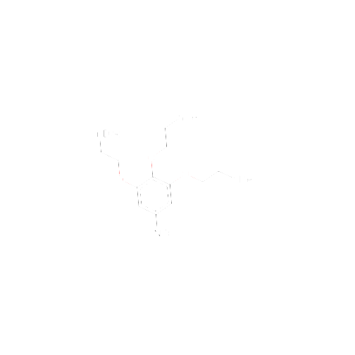 CCCCCCCCCCCCOc1cc([N+](=O)[O-])cc(OCCCCCCCCCCCC)c1OCCCCCCCCCCCC